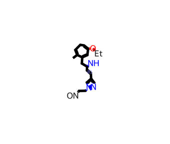 CCOC1=CCC=C(C)C(CC(=N)/C=C/c2cnn(CCN=O)c2)=C1